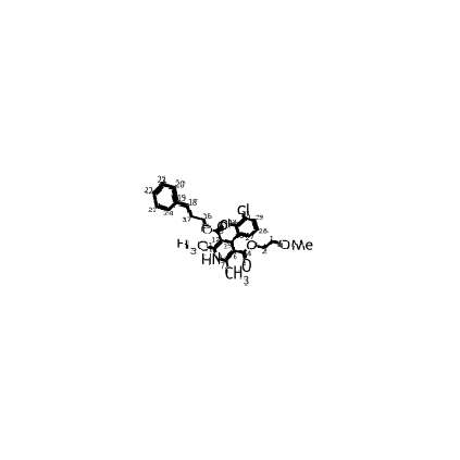 COCCOC(=O)C1=C(C)NC(C)=C(C(=O)OCCCc2ccccc2)C1c1cccc(Cl)c1Cl